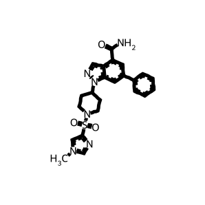 Cn1cnc(S(=O)(=O)N2CCC(n3ncc4c(C(N)=O)cc(-c5ccccc5)cc43)CC2)c1